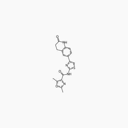 Cc1nc(C(=O)Nc2nc(-c3ccc4c(c3)CCC(=O)N4)cs2)c(C)o1